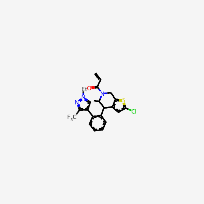 C=CC(=O)N1Cc2sc(Cl)cc2C(c2ccccc2-c2cn(CC)nc2C(F)(F)F)C1C